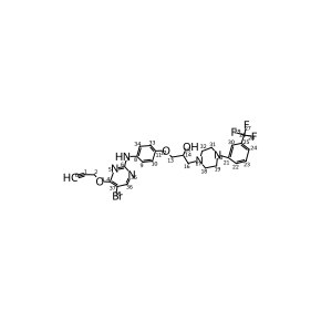 C#CCOc1nc(Nc2ccc(OCC(O)CN3CCN(c4cccc(C(F)(F)F)c4)CC3)cc2)ncc1Br